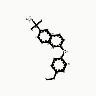 CCc1ccc(Oc2ccc3cc(C(C)(C)N)ccc3c2)cc1